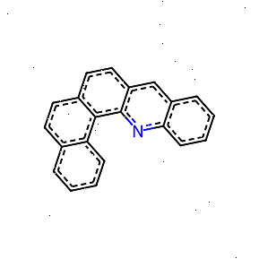 c1ccc2nc3c(ccc4ccc5ccccc5c43)cc2c1